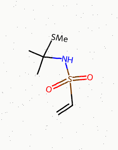 C=CS(=O)(=O)NC(C)(C)SC